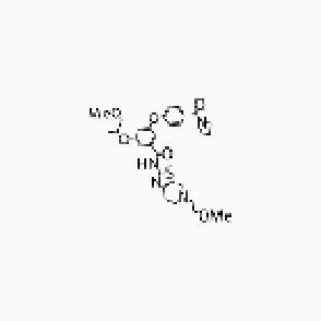 COCCN1CCc2nc(NC(=O)c3cc(Oc4ccc(C(=O)N5CCC5)cc4)cc(OC(C)COC)c3)sc2C1